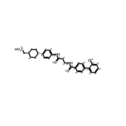 O=C(O)C[C@H]1CC[C@H](c2ccc(NC(=O)CCNC(=O)c3ccc(-c4ccccc4Cl)cc3)cc2)CC1